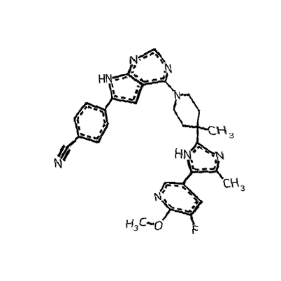 COc1ncc(-c2[nH]c(C3(C)CCN(c4ncnc5[nH]c(-c6ccc(C#N)cc6)cc45)CC3)nc2C)cc1F